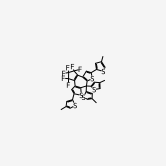 Cc1csc(-c2cc3c(s2)C(c2cc(C)cs2)(c2cc(C)cs2)c2sc(-c4cc(C)cs4)cc2C2=C3C(F)(F)C(F)(F)C2(F)F)c1